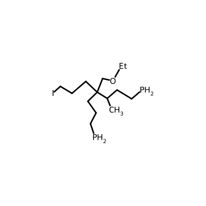 CCOCC(CCCP)(CCCI)C(C)CCP